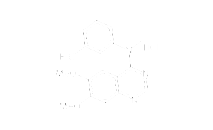 COc1cc2ncnc(N(C)c3cccc(C(F)(F)F)c3)c2cc1OC.Cl